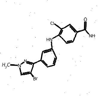 Cn1cc(Br)c(-c2cccc(Nc3ccc(C([NH])=O)cc3Cl)c2)n1